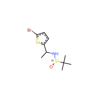 CC(N[S@+]([O-])C(C)(C)C)c1ccc(Br)s1